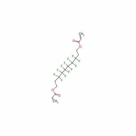 C=CC(=O)OCCC(F)(F)C(F)(F)C(F)(F)C(F)(F)C(F)(F)C(F)(F)CCOC(=O)C=C